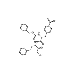 O=C(NC(Cc1ccc([N+](=O)[O-])cc1)C(=O)NC(CCc1ccccc1)C(=O)CO)OCc1ccccc1